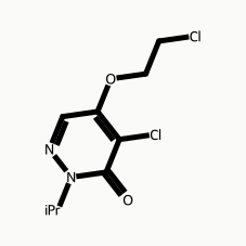 CC(C)n1ncc(OCCCl)c(Cl)c1=O